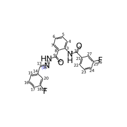 O=C(Nc1ccccc1C(=O)N/N=C/c1cccc(F)c1)c1cccc(F)c1